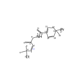 C=C(/C=C\C(C)(C)CC)CNC(=C)C1=CCC(C)(C(C)C)C=C1